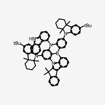 CC(C)(C)c1ccc2c(c1)C1(C)CCCCC1(C)N2c1ccc2c(c1)N(c1cccc3[nH]c4ccccc4c13)c1cc(N3c4ccc(C(C)(C)C)cc4C4(C)CCCCC34C)cc3c1B2c1cccc2c4c(n-3c12)C(C)(C)c1ccccc1-4